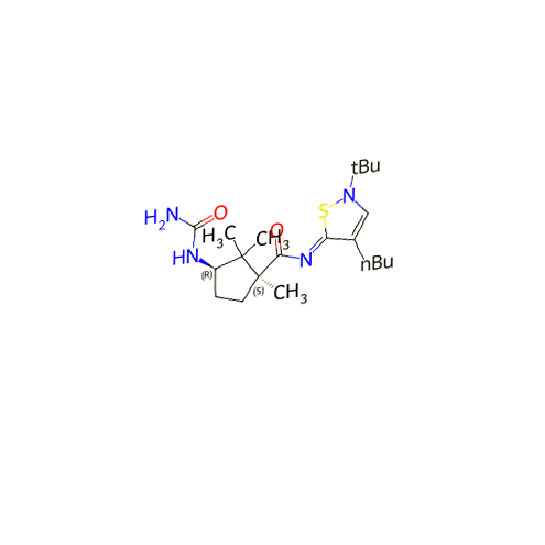 CCCCc1cn(C(C)(C)C)sc1=NC(=O)[C@@]1(C)CC[C@@H](NC(N)=O)C1(C)C